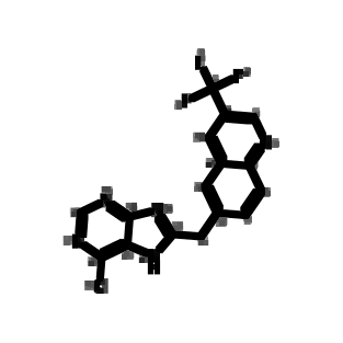 FC(F)(F)c1cnc2ccc(Cc3nc4ncnc(Cl)c4[nH]3)cc2c1